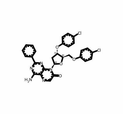 Nc1nc(-c2ccccc2)nc2c1ncc(=O)n2[C@H]1C[C@H](Oc2ccc(Cl)cc2)[C@@H](COc2ccc(Cl)cc2)O1